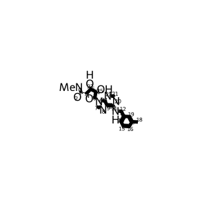 CNC(=O)[C@H]1O[C@@H](n2cnc3c(NCc4cccc(C)c4)ncnc32)C(O)[C@H]1O